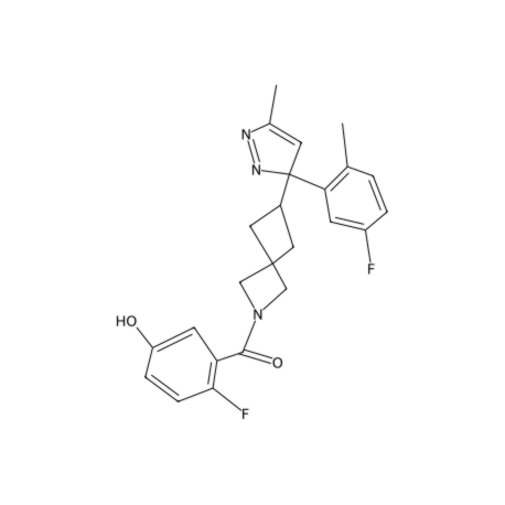 CC1=CC(c2cc(F)ccc2C)(C2CC3(C2)CN(C(=O)c2cc(O)ccc2F)C3)N=N1